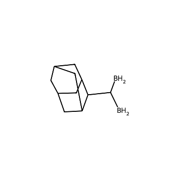 BC(B)C1C2CC3CC(C2)CC1C3